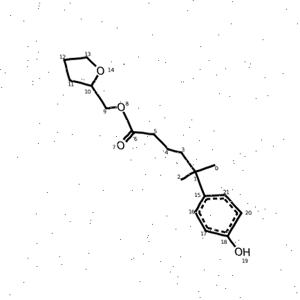 CC(C)(CCCC(=O)OCC1CCCO1)c1ccc(O)cc1